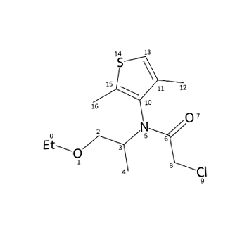 CCOCC(C)N(C(=O)CCl)c1c(C)csc1C